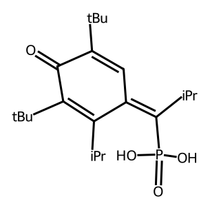 CC(C)C1=C(C(C)(C)C)C(=O)C(C(C)(C)C)=CC1=C(C(C)C)P(=O)(O)O